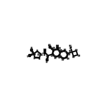 O=C(N[C@@H]1C=CS(=O)(=O)C1)c1cc2ccc(C3(F)CCC3)cc2[nH]c1=O